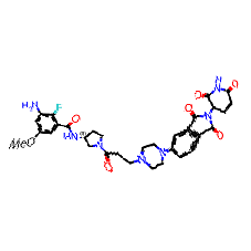 COc1cc(N)c(F)c(C(=O)N[C@@H]2CCN(C(=O)CCN3CCN(c4ccc5c(c4)C(=O)N(C4CCC(=O)NC4=O)C5=O)CC3)C2)c1